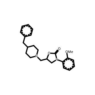 COc1ccccc1N1CC(CN2CCC(Cc3ccccc3)CC2)OC1=O